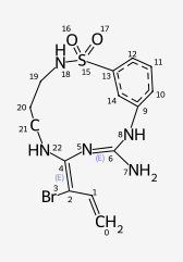 C=C/C(Br)=C1\N=C(/N)Nc2cccc(c2)S(=O)(=O)NCCCN1